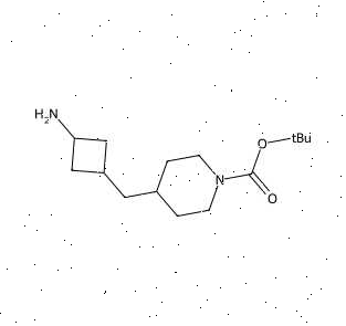 CC(C)(C)OC(=O)N1CCC(CC2CC(N)C2)CC1